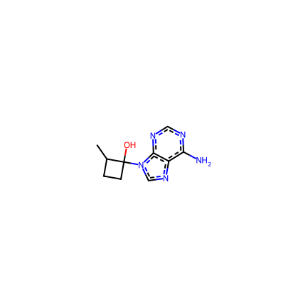 CC1CCC1(O)n1cnc2c(N)ncnc21